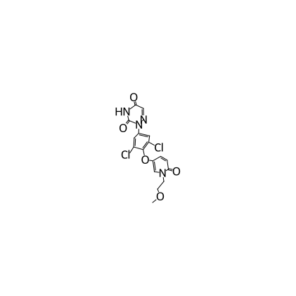 COCCn1cc(Oc2c(Cl)cc(-n3ncc(=O)[nH]c3=O)cc2Cl)ccc1=O